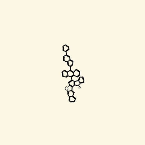 c1ccc(-c2ccc3cc(-c4c5ccccc5c(-c5cc6oc7cc8ccccc8cc7c6c6sc7ccccc7c56)c5ccccc45)ccc3c2)cc1